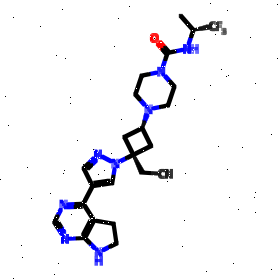 C[C@H](NC(=O)N1CCN([C@H]2C[C@](CC#N)(n3cc(-c4ncnc5c4CCN5)cn3)C2)CC1)C(F)(F)F